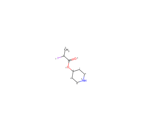 CC(I)C(=O)OC1CCNCC1